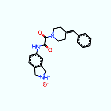 O=C(Nc1ccc2c(c1)C[NH+]([O-])C2)C(=O)N1CCC(=Cc2ccccc2)CC1